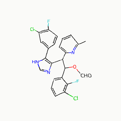 Cc1cccc(C(c2nc[nH]c2-c2ccc(F)c(Cl)c2)C(OC=O)c2cccc(Cl)c2F)n1